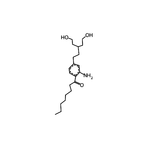 CCCCCCCC(=O)c1ccc(CCC(CCO)CCO)cc1N